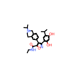 CCNC(=O)c1onc(-c2cc(C(C)C)c(O)cc2O)c1-c1ccc2c(c1)CCN(C(C)C)C2